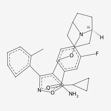 Cc1ccccc1-c1noc(C2CC2)c1COC1CC2CC[C@@H](C1)N2c1ccc(C(N)=O)cc1F